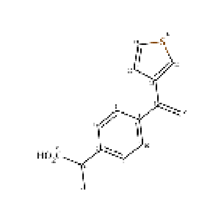 C=C(c1ccc(C(C)C(=O)O)cc1)c1ccsc1